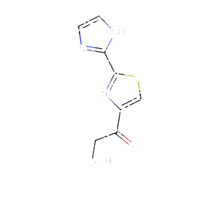 O=C(O)CC(=O)c1csc(-c2ncc[nH]2)n1